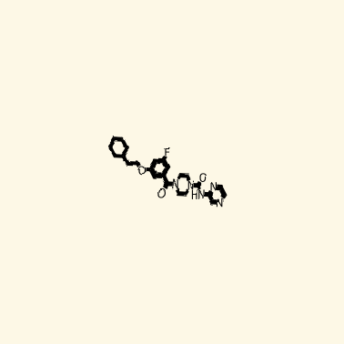 O=C(Nc1cnccn1)N1CCN(C(=O)c2cc(F)cc(OCCC3CCCCC3)c2)CC1